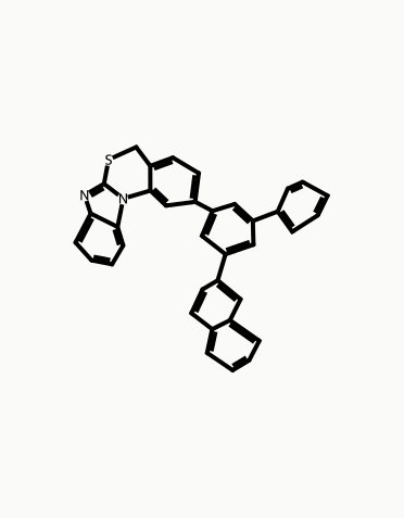 c1ccc(-c2cc(-c3ccc4c(c3)-n3c(nc5ccccc53)SC4)cc(-c3ccc4ccccc4c3)c2)cc1